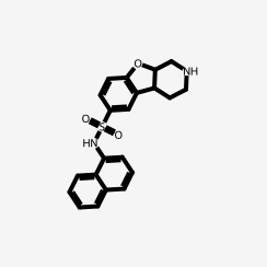 O=S(=O)(Nc1cccc2ccccc12)c1ccc2c(c1)C1CCNCC1O2